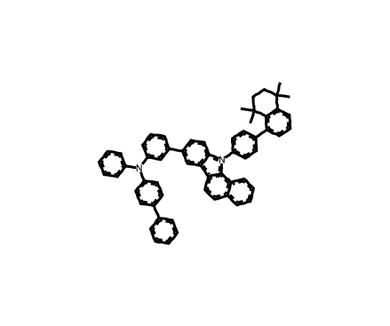 CC1(C)CCC(C)(C)c2c(-c3ccc(-n4c5ccc(-c6cccc(N(c7ccccc7)c7ccc(-c8ccccc8)cc7)c6)cc5c5ccc6ccccc6c54)cc3)cccc21